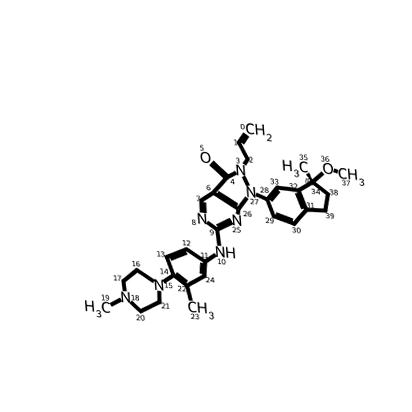 C=CCn1c(=O)c2cnc(Nc3ccc(N4CCN(C)CC4)c(C)c3)nc2n1-c1ccc2c(c1)[C@](C)(OC)CC2